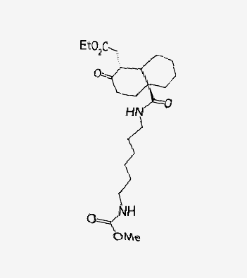 CCOC(=O)C[C@H]1C(=O)CC[C@@]2(C(=O)NCCCCCCNC(=O)OC)CCCCC12